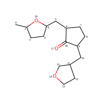 CC1CCC(CC2CCC(CC3CCOC3)C2=O)O1